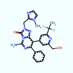 Cn1ccnc1Cn1nc2c(-c3cc(CO)nc(C(C)(F)F)c3)c(-c3ccccc3)nc(N)n2c1=O